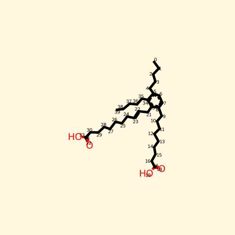 CCCCCc1ccc(CCCCCCCCC(=O)O)c(CC=CCCCCCCCC(=O)O)c1CCCCC